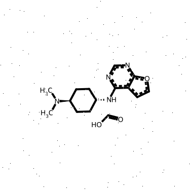 CN(C)[C@H]1CC[C@H](Nc2ncnc3occc23)CC1.O=CO